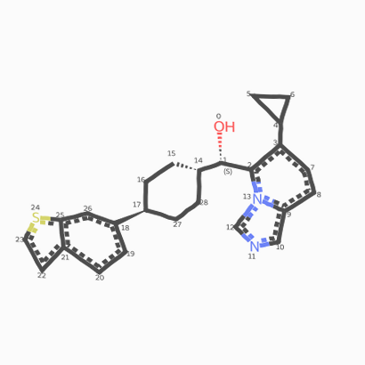 O[C@H](c1c(C2CC2)ccc2cncn12)[C@H]1CC[C@H](c2ccc3ccsc3c2)CC1